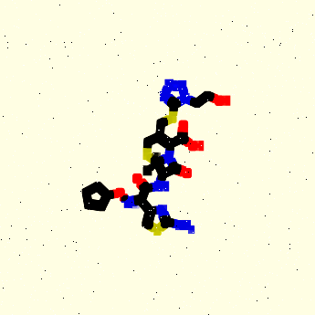 Nc1nc(/C(=N/OC2C=CCC2)C(=O)NC2C(=O)N3C(C(=O)O)=C(CSc4nnnn4CCO)CS[C@H]23)cs1